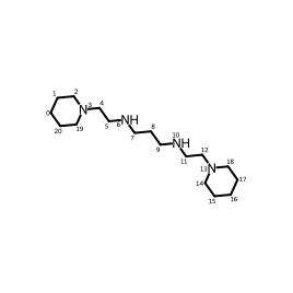 C1CCN(CCNCCCNCCN2CCCCC2)CC1